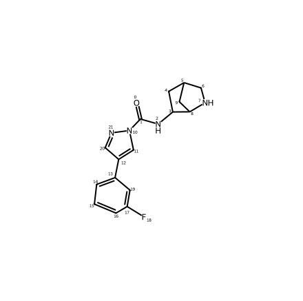 O=C(NC1CC2CNC1C2)n1cc(-c2cccc(F)c2)cn1